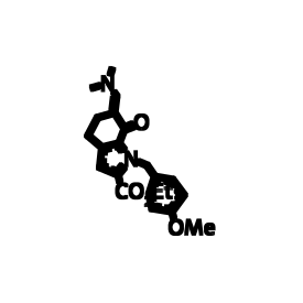 CCOC(=O)c1cc2c(n1Cc1ccc(OC)cc1)C(=O)C(=CN(C)C)CC2